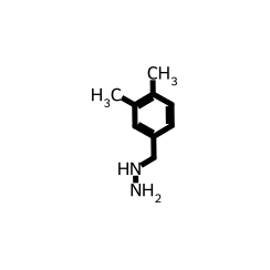 Cc1ccc(CNN)cc1C